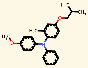 COc1ccc(N(c2ccccc2)c2ccc(OCC(C)C)cc2C)cc1